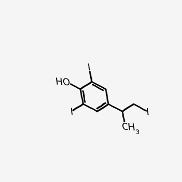 CC(CI)c1cc(I)c(O)c(I)c1